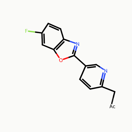 CC(=O)Cc1ccc(-c2nc3ccc(F)cc3o2)cn1